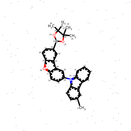 Cc1ccc2c(c1)c1ccccc1n2-c1ccc2oc3ccc(B4OC(C)(C)C(C)(C)O4)cc3c2c1